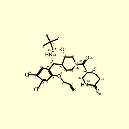 C=CCOc1cc(Cl)c(Cl)cc1[C@H](N[S@@+]([O-])C(C)(C)C)C1CCN(C(=O)[C@@H]2CNC(=O)CO2)CC1